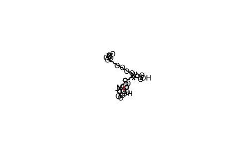 Cc1cc(S(=O)(=O)O)cc2c1N(OCCOCCOCCOCCCCC(=O)ON1C(=O)CCC1=O)/C(=C/C=C1\CCCC(/C=C/C3=[N+](C)c4c(C)cc(S(=O)(=O)[O-])cc4C3(C)C)=C1Oc1ccc(S(=O)(=O)O)cc1)C2(C)C